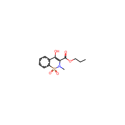 CCCOC(=O)C1=C(O)c2ccccc2S(=O)(=O)N1C